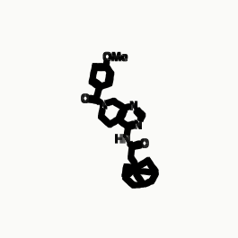 COc1ccc(C(=O)N2CCc3c(ncnc3NC(=O)CC34CC5CC(CC(C5)C3)C4)C2)cc1